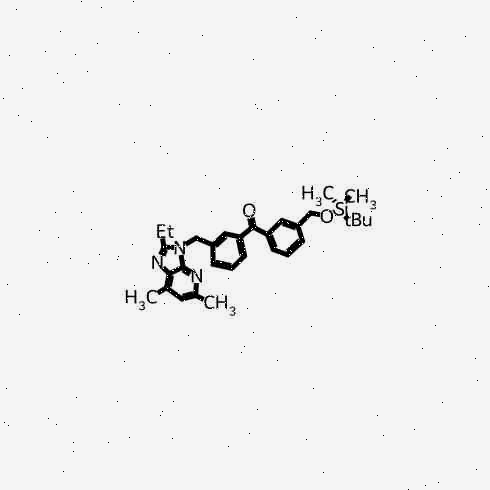 CCc1nc2c(C)cc(C)nc2n1Cc1cccc(C(=O)c2cccc(CO[Si](C)(C)C(C)(C)C)c2)c1